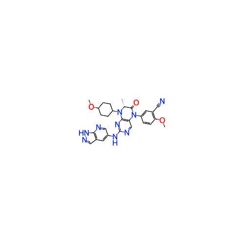 COc1ccc(N2C(=O)[C@@H](C)N(C3CCC(OC)CC3)c3nc(Nc4cnc5[nH]ncc5c4)ncc32)cc1C#N